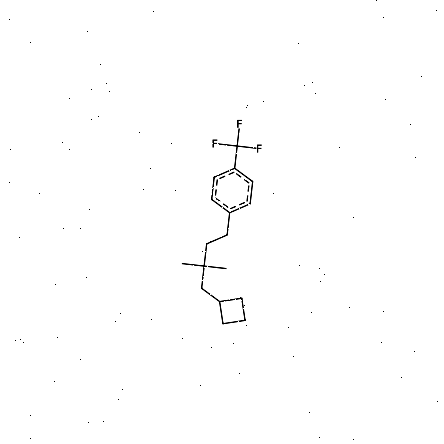 CC(C)(CCc1ccc(C(F)(F)F)cc1)CC1CCC1